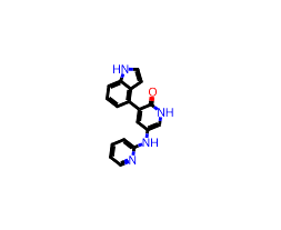 O=c1[nH]cc(Nc2ccccn2)cc1-c1cccc2[nH]ccc12